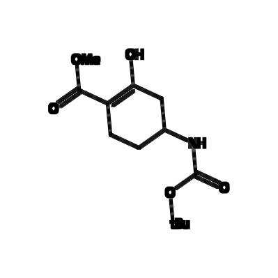 COC(=O)C1=C(O)CC(NC(=O)OC(C)(C)C)CC1